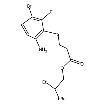 CCCCC(CC)COC(=O)CCSc1c(N)ccc(Br)c1Cl